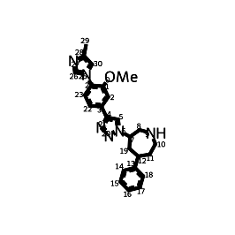 COc1cc(-c2cn(C3CNCCC(c4ccccc4)C3)nn2)ccc1-n1cnc(C)c1